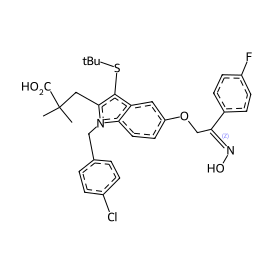 CC(C)(C)Sc1c(CC(C)(C)C(=O)O)n(Cc2ccc(Cl)cc2)c2ccc(OC/C(=N\O)c3ccc(F)cc3)cc12